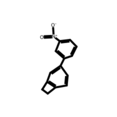 O=[N+]([O-])c1cccc(-c2ccc3c(c2)CC3)c1